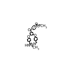 CCOC(=N)c1ccc(Oc2cc(Oc3ccc(CN)cc3)cc(C(=O)N3CCN(C(=O)OCC)CC3)c2)cc1